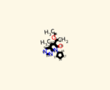 C=C(OCC)c1c(C)c2cncnc2n(C2CCCC2)c1=O